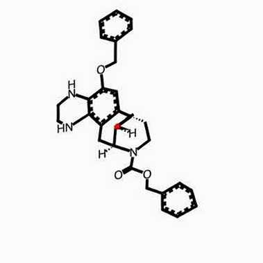 O=C(OCc1ccccc1)N1CC[C@@]23CCCC[C@@H]2[C@@H]1Cc1c3cc(OCc2ccccc2)c2c1NCCN2